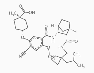 COc1cc(C#N)c(O[C@H]2CC[C@@](C)(C(=O)O)CC2)cc1C(=O)N[C@@H]1[C@H]2CC[C@H](C2)[C@@H]1C(=O)NCC1(CC(C)C)CCC1